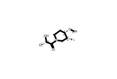 CC[C@H](O)C(=O)N1CC[C@H](OC(C)C)[C@H](F)C1